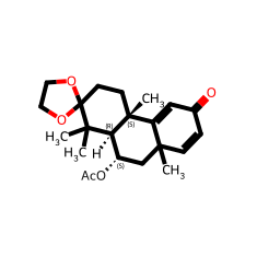 CC(=O)O[C@H]1CC2(C)C=CC(=O)C=C2[C@@]2(C)CCC3(OCCO3)C(C)(C)[C@H]12